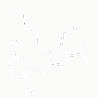 C=CCCCN1C(Cc2cc(OC)ccc2OC)=NC(=C(C)C)/C1=N\CC